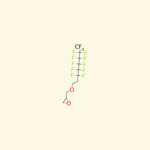 FC(F)(F)C(F)(F)C(F)(F)C(F)(F)C(F)(F)C(F)(F)CCOCC1CO1